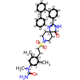 Cc1cc(N(C)C(N)=O)cc(C)c1CCS(=O)(=O)N1CCC2(CC1)N=C(c1cccc(-c3ccccc3-c3ccccc3)c1)NC2=O